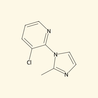 Cc1nccn1-c1ncccc1Cl